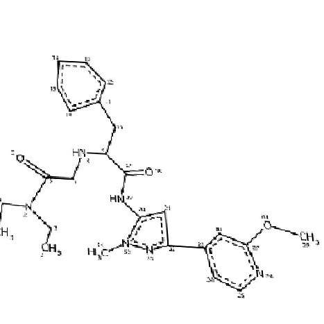 CCN(CC)C(=O)CNC(Cc1ccccc1)C(=O)Nc1cc(-c2ccnc(OC)c2)nn1C